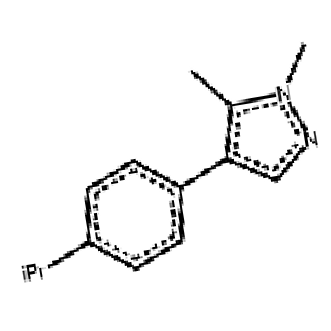 Cc1c(-c2ccc(C(C)C)cc2)cnn1C